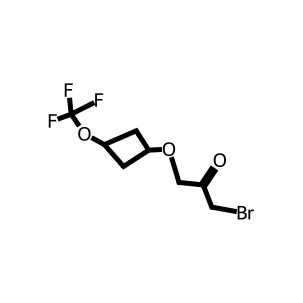 O=C(CBr)COC1CC(OC(F)(F)F)C1